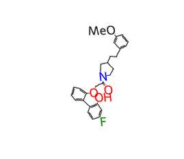 COc1cccc(CCC2CCN(C(=O)COc3ccccc3-c3ccc(F)cc3O)CC2)c1